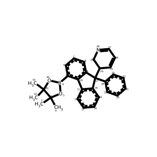 CC1(C)OB(c2cccc3c2-c2ccccc2C3(c2ccccc2)C2C=CC=NC2)OC1(C)C